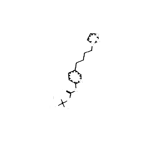 CC(C)(C)OC(=O)Nc1ccc(CCCCn2ccnn2)cn1